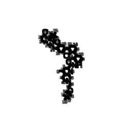 Cc1cc(C(=O)Nc2cccc(-c3cccc(-c4ccc(CN(C[C@@H]5CCC(=O)N5)C(=O)OC(C)(C)C)cc4)c3Cl)c2C)nc2c1CCN(CCO[Si](C)(C)C(C)(C)C)C2